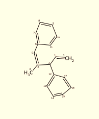 C=CC(C(C)=Cc1ccccc1)c1ccccc1